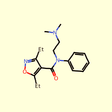 CCc1noc(CC)c1C(=O)N(CCN(C)C)c1ccccc1